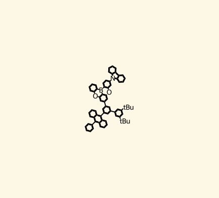 CC(C)(C)c1cc(-c2cc(-c3cc4c5c(c3)Oc3cc(-n6c7ccccc7c7ccccc76)ccc3B5c3ccccc3O4)cc(-c3c4ccccc4c(-c4ccccc4)c4ccccc34)c2)cc(C(C)(C)C)c1